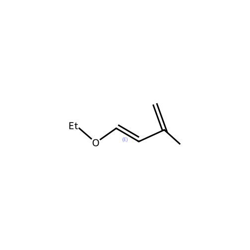 C=C(C)/C=C/OCC